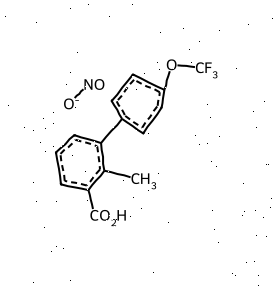 Cc1c(C(=O)O)cccc1-c1ccc(OC(F)(F)F)cc1.O=[NH+][O-]